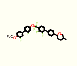 CC1CCC(c2ccc(-c3ccc(C(F)(F)Oc4ccc(-c5ccc(OC(F)(F)F)c(F)c5)c(F)c4)c(F)c3F)cc2)OC1